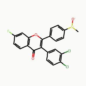 C[S+]([O-])c1ccc(-c2oc3cc(F)ccc3c(=O)c2-c2ccc(Cl)c(Cl)c2)cc1